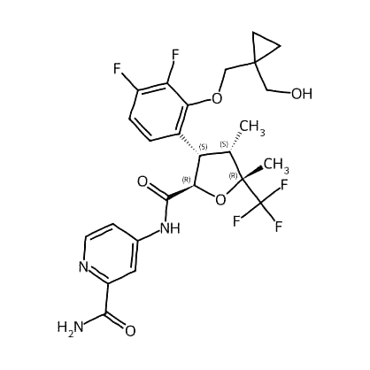 C[C@H]1[C@@H](c2ccc(F)c(F)c2OCC2(CO)CC2)[C@H](C(=O)Nc2ccnc(C(N)=O)c2)O[C@@]1(C)C(F)(F)F